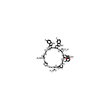 CC(=O)N[C@@H]1Cc2cn(nn2)CCC[C@@H](C(N)=O)NC(=O)[C@]2(C)CCCN2C(=O)[C@H](Cc2ccc(O)cc2)NC(=O)[C@H](Cc2cnc[nH]2)NC(=O)[C@H](CC(=O)O)NC(=O)[C@H](Cc2c[nH]c3ccc(F)cc23)NC(=O)[C@H](Cc2c[nH]c3ccc(F)cc23)NC(=O)CNC1=O